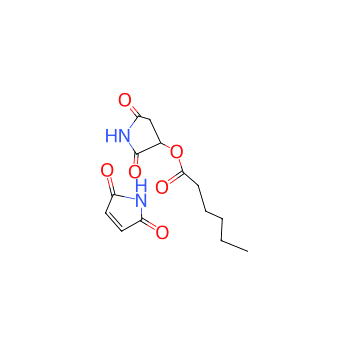 CCCCCC(=O)OC1CC(=O)NC1=O.O=C1C=CC(=O)N1